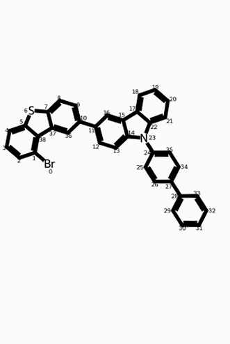 Brc1cccc2sc3ccc(-c4ccc5c(c4)c4ccccc4n5-c4ccc(-c5ccccc5)cc4)cc3c12